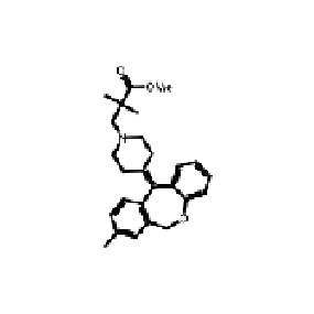 COC(=O)C(C)(C)CN1CCC(=C2c3ccc(C)cc3COc3ccccc32)CC1